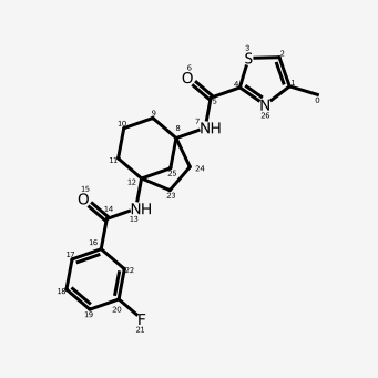 Cc1csc(C(=O)NC23CCCC(NC(=O)c4cccc(F)c4)(CC2)C3)n1